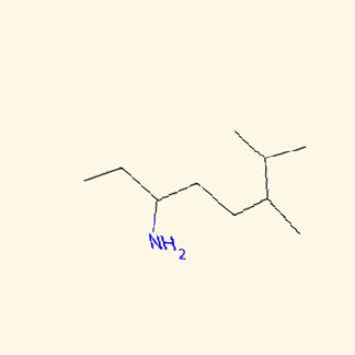 CCC(N)CCC(C)C(C)C